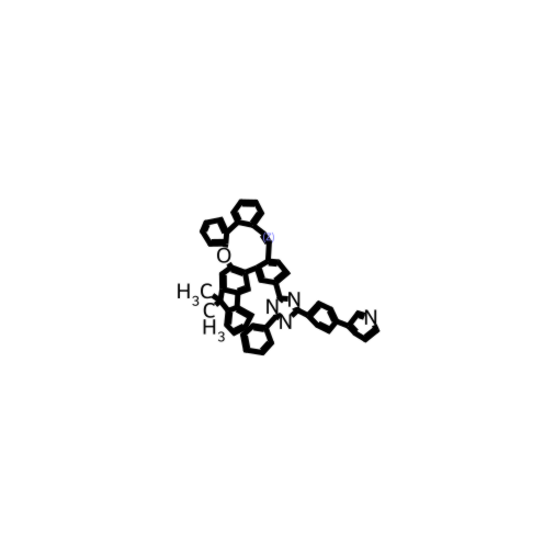 CC1(C)c2ccccc2-c2cc3c(cc21)Oc1ccccc1-c1ccccc1/C=C\c1ccc(-c2nc(-c4ccccc4)nc(-c4ccc(-c5cccnc5)cc4)n2)cc1-3